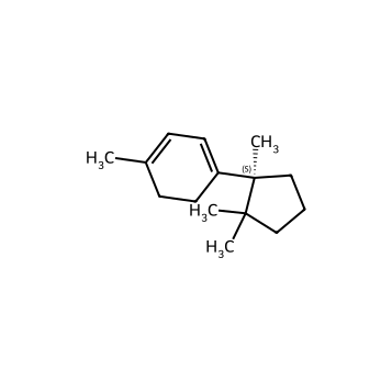 CC1=CC=C([C@@]2(C)CCCC2(C)C)CC1